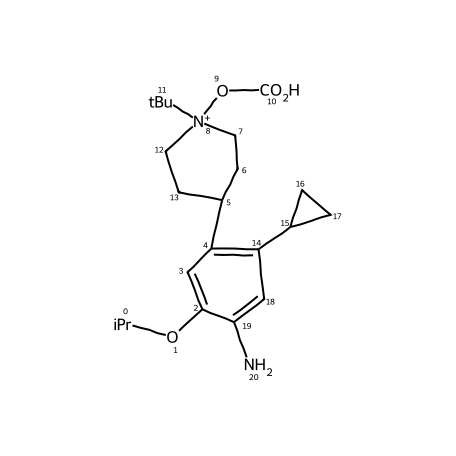 CC(C)Oc1cc(C2CC[N+](OC(=O)O)(C(C)(C)C)CC2)c(C2CC2)cc1N